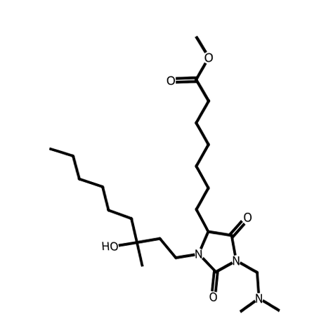 CCCCCCC(C)(O)CCN1C(=O)N(CN(C)C)C(=O)C1CCCCCCC(=O)OC